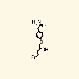 CC(C)CCC(O)COc1ccc(CC(N)=O)cc1